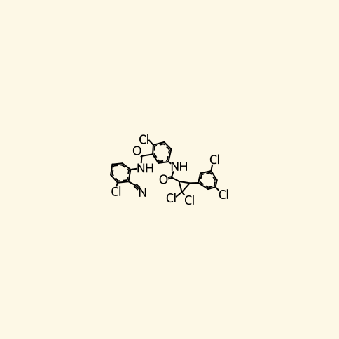 N#Cc1c(Cl)cccc1NC(=O)c1cc(NC(=O)C2C(c3cc(Cl)cc(Cl)c3)C2(Cl)Cl)ccc1Cl